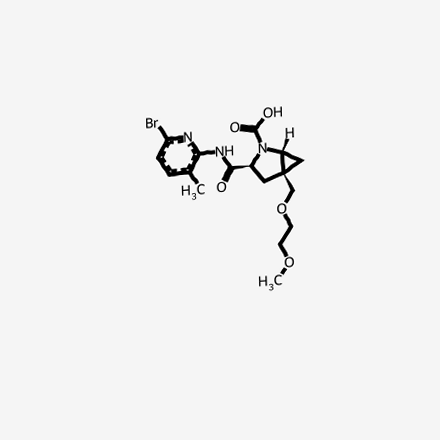 COCCOC[C@@]12C[C@@H](C(=O)Nc3nc(Br)ccc3C)N(C(=O)O)[C@@H]1C2